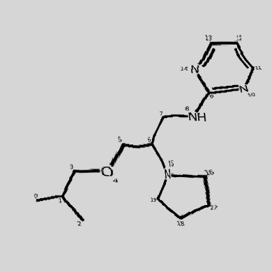 CC(C)COCC(CNc1ncccn1)N1CCCC1